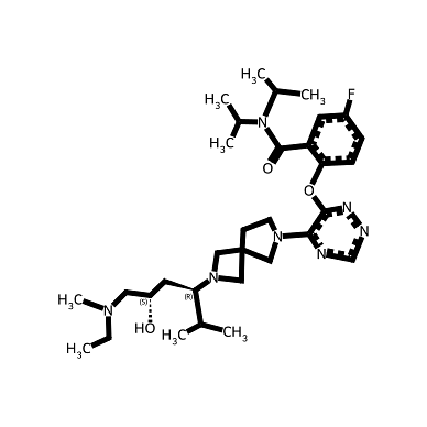 CCN(C)C[C@@H](O)C[C@H](C(C)C)N1CC2(CCN(c3ncnnc3Oc3ccc(F)cc3C(=O)N(C(C)C)C(C)C)C2)C1